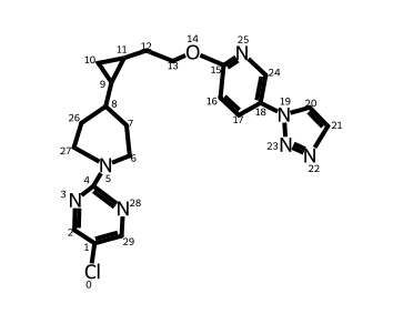 Clc1cnc(N2CCC(C3CC3CCOc3ccc(-n4ccnn4)cn3)CC2)nc1